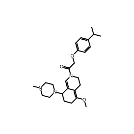 COC1=C2CCN(C(=O)COc3ccc(C(C)C)cc3)C=C2C(N2CCN(C)CC2)CC1